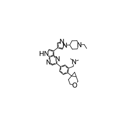 CCN1CCC(n2cc(-c3c[nH]c4ncc(-c5ccc(C67CCOCC6C7)c(CN(C)C)c5)nc34)cn2)CC1